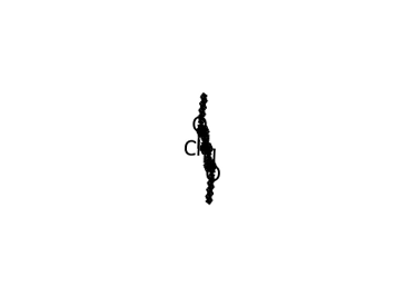 CCCCCCCCCOc1ccc(C=Nc2ccc(N=Cc3ccc(OCCCCCCCCC)cc3)c(Cl)c2)cc1